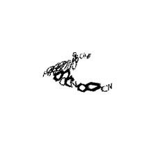 CS(=O)(=O)CC(=O)N[C@H]1CC2(CCN([C@@H]3CCc4cc(C#N)ccc4C3)CC2)Oc2ccc(NS(C)(=O)=O)cc21.Cl